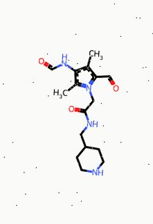 Cc1c(NC=O)c(C)n(CC(=O)NCC2CCNCC2)c1C=O